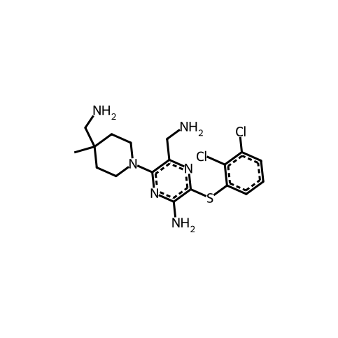 CC1(CN)CCN(c2nc(N)c(Sc3cccc(Cl)c3Cl)nc2CN)CC1